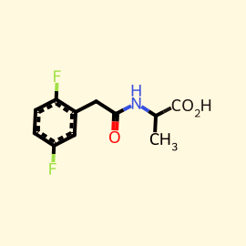 CC(NC(=O)Cc1cc(F)ccc1F)C(=O)O